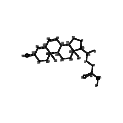 COC(=O)CCC(C)C1CCC2C3C=CC4=CC(=O)CCC4(C)C3CCC12C